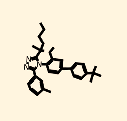 CCCCC(C)(C)c1nnc(-c2cccc(C)c2)n1-c1ccc(-c2ccc(C(C)(C)C)cc2)cc1CC